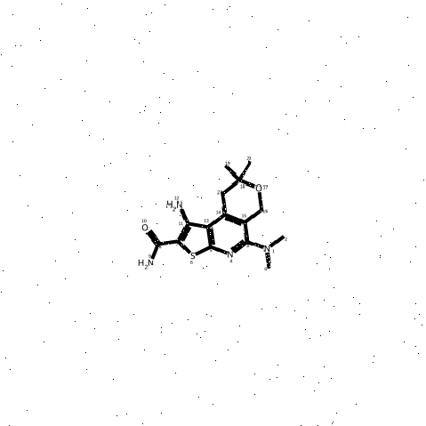 CN(C)c1nc2sc(C(N)=O)c(N)c2c2c1COC(C)(C)C2